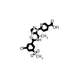 C[C@H](NC(=O)c1cc(Cl)cc(S(C)(=O)=O)c1)c1ncnn1-c1ccc(C(=O)O)cn1